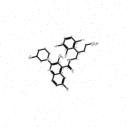 CCC1CCCN(c2nc3ccc(Br)cc3c(C(=O)NCC(CCC(=O)O)c3c(F)ccc(F)c3Cl)c2C)C1